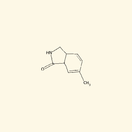 CC1=CC2C(=O)NCC2C=C1